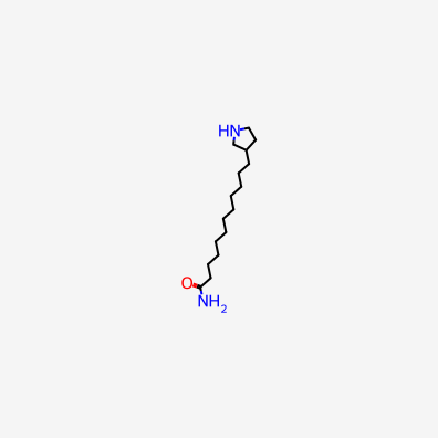 NC(=O)CCCCCCCCCCCC1CCNC1